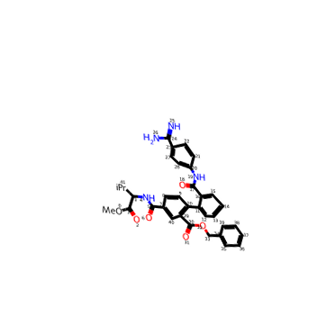 COC(=O)C(NC(=O)c1ccc(-c2ccccc2C(=O)Nc2ccc(C(=N)N)cc2)c(C(=O)OCc2ccccc2)c1)C(C)C